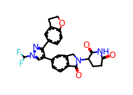 O=C1CCC(N2Cc3cc(-c4cn(C(F)F)nc4-c4ccc5c(c4)CCO5)ccc3C2=O)C(=O)N1